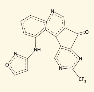 O=C1c2cnc3cccc(Nc4ccon4)c3c2-c2cnc(C(F)(F)F)nc21